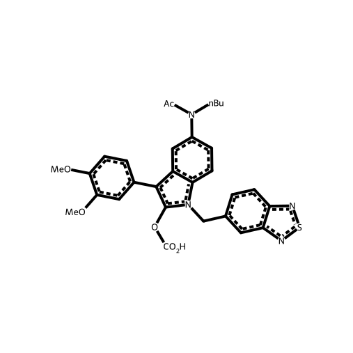 CCCCN(C(C)=O)c1ccc2c(c1)c(-c1ccc(OC)c(OC)c1)c(OC(=O)O)n2Cc1ccc2nsnc2c1